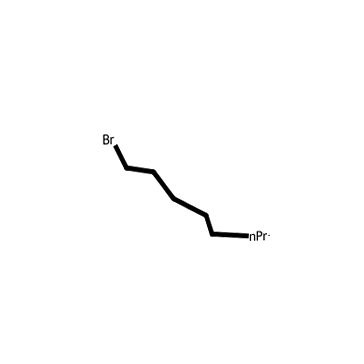 CC[CH]CCCCCBr